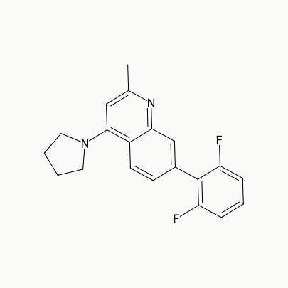 Cc1cc(N2CCCC2)c2ccc(-c3c(F)cccc3F)cc2n1